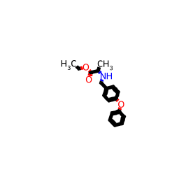 CCOC(=O)C(C)NCc1ccc(Oc2ccccc2)cc1